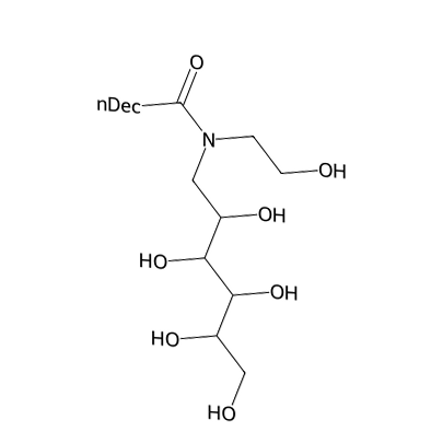 CCCCCCCCCCC(=O)N(CCO)CC(O)C(O)C(O)C(O)CO